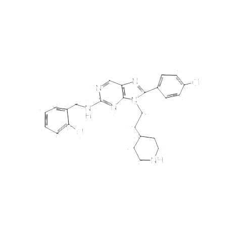 Clc1ccc(-c2nc3cnc(NCc4ccccc4Cl)nc3n2CCC2CCNCC2)cc1